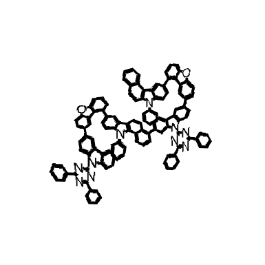 c1ccc(-c2nc(-c3ccccc3)nc(-n3c4ccccc4c4cc(-c5ccc6oc7cccc(-c8ccc9c(c8)c8ccc%10c(-c%11ccc%12c%13cc(-c%14ccc%15oc%16cccc(-c%17ccc%18c(c%17)c%17c%19ccccc%19ccc%17n%18-c%17ccccc%17)c%16c%15c%14)ccc%13n(-c%13nc(-c%14ccccc%14)nc(-c%14ccccc%14)n%13)c%12c%11)cccc%10c8n9-c8ccccc8)c7c6c5)ccc43)n2)cc1